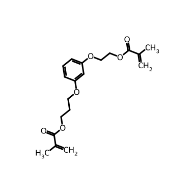 C=C(C)C(=O)OCCCOc1cccc(OCCOC(=O)C(=C)C)c1